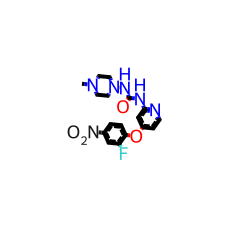 CN1CCN(NC(=O)Nc2cc(Oc3ccc([N+](=O)[O-])cc3F)ccn2)CC1